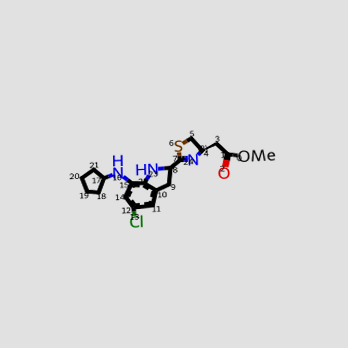 COC(=O)C[C@@H]1CSC(C2Cc3cc(Cl)cc(NC4CCCC4)c3N2)=N1